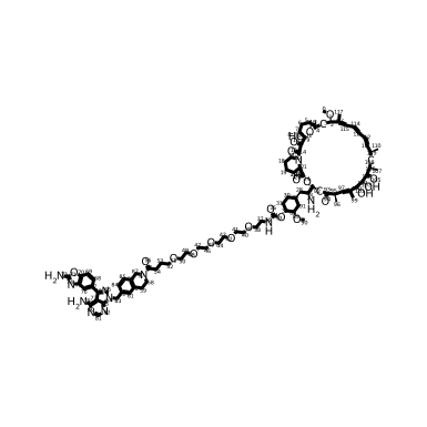 CO[C@H]1C[C@@H]2CC[C@@H](C)[C@@](O)(O2)C(=O)C(=O)N2CCCC[C@H]2C(=O)O[C@H]([C@H](N)C[C@@H]2CC[C@@H](OC(=O)NCCOCCOCCOCCOCCOCCCC(=O)N3CCc4cc(Cn5nc(-c6ccc7oc(N)nc7c6)c6c(N)ncnc65)ccc4C3)[C@H](OC)C2)CC(=O)[C@H](C)/C=C(\C)[C@@H](O)[C@@H](O)C(=O)[C@H](C)C[C@H](C)/C=C/C=C/C=C/1C